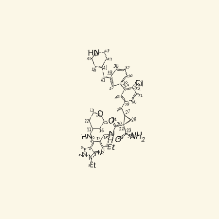 CCc1nc2c(cnn2CC)c(NC2CCOCC2)c1CNC(=O)C1(C(N)=O)CC1Cc1ccc(Cl)c(-c2cccc(CC3CCNCC3)c2)c1